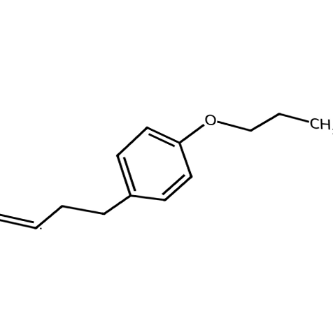 CCCOc1ccc(CC[C]=O)cc1